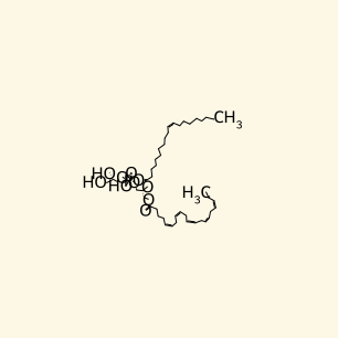 CC/C=C\C/C=C\C/C=C\C/C=C\C/C=C\CCCC(=O)OC[C@H](COP(=O)(O)OC[C@@H](O)CO)OC(=O)CCCCCCCCC/C=C\CCCCCCCC